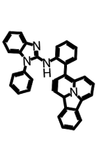 C1#CC2c3ccccc3C3=CC=CC(=C1c1ccccc1Nc1nc4ccccc4n1-c1ccccc1)N32